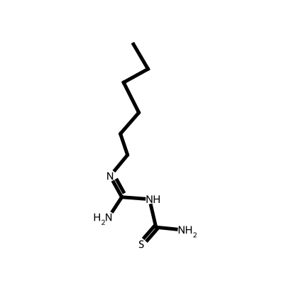 CCCCCCN=C(N)NC(N)=S